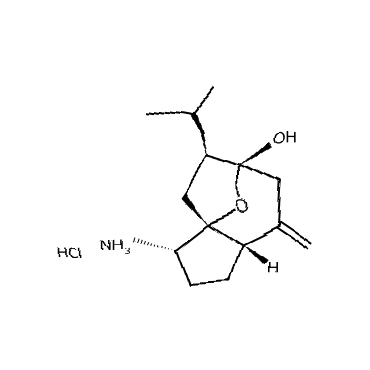 C=C1C[C@]2(O)O[C@@]3(C[C@H]2C(C)C)[C@@H](C)CC[C@@H]13.Cl.N